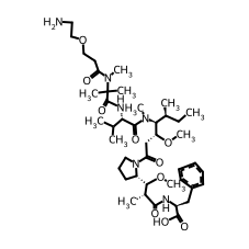 CC[C@H](C)[C@@H]([C@@H](CC(=O)N1CCC[C@H]1C(OC)[C@@H](C)C(=O)N[C@@H](Cc1ccccc1)C(=O)O)OC)N(C)C(=O)[C@@H](NC(=O)C(C)(C)N(C)C(=O)CCOCCN)C(C)C